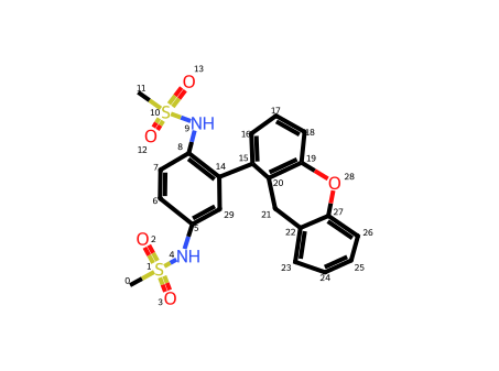 CS(=O)(=O)Nc1ccc(NS(C)(=O)=O)c(-c2cccc3c2Cc2ccccc2O3)c1